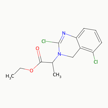 CCOC(=O)C(C)N1Cc2c(Cl)cccc2N=C1Cl